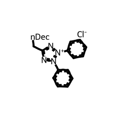 CCCCCCCCCCCc1nn(-c2ccccc2)[n+](-c2ccccc2)n1.[Cl-]